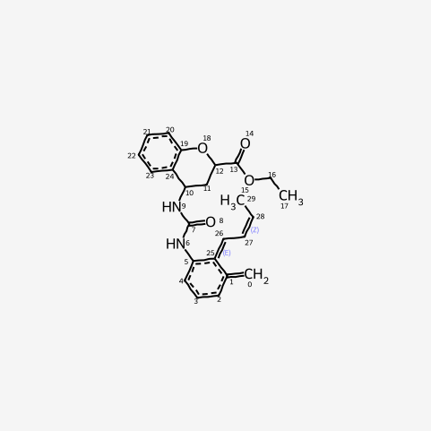 C=c1cccc(NC(=O)NC2CC(C(=O)OCC)Oc3ccccc32)/c1=C/C=C\C